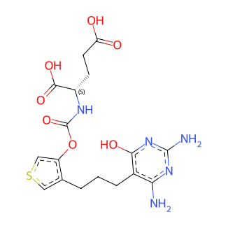 Nc1nc(N)c(CCCc2cscc2OC(=O)N[C@@H](CCC(=O)O)C(=O)O)c(O)n1